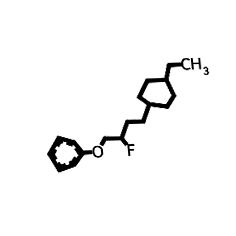 CCC1CCC(CCC(F)COc2ccccc2)CC1